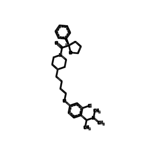 CC(c1ccc(OCCCCC2CCN(C(=O)[C@]3(c4ccccc4)CCCO3)CC2)cc1Cl)N(C)C